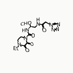 CCN1CCN(C(=O)NC(C=O)CNC(=O)Cn2cnnn2)C(=O)C1=O